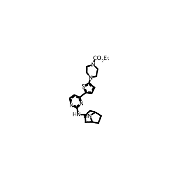 CCOC(=O)N1CCN(c2ccc(-c3ccnc(NC4CC5CCC(C4)N5)n3)s2)CC1